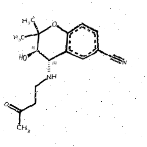 CC(=O)CCN[C@H]1c2cc(C#N)ccc2OC(C)(C)[C@@H]1O